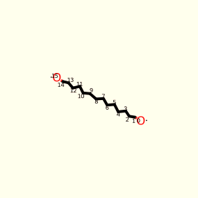 [O]CCCCCCCCCCCCCC[O]